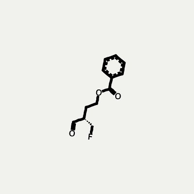 O=C[C@@H](CF)CCOC(=O)c1ccccc1